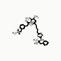 CC(/C=C(\N)CCCCc1nnc(NC(C)(O)Cc2ccccc2)s1)C(N)NC(=O)Cc1cccc(CS(C)(=O)=O)c1